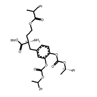 COC(=O)[C@@](N)(CCOC(=O)C(C)C(C)C)Cc1ccc(OC(=O)O[C@@H](C)C(C)C)c(OC(=O)OC(C)C(C)C)c1